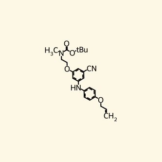 C=CCOc1ccc(Nc2cc(C#N)cc(OCCN(C)C(=O)OC(C)(C)C)c2)cc1